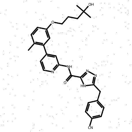 Cc1ccc(OCCCC(C)(C)O)cc1-c1ccnc(NC(=O)c2nnc(Cc3ccc(C#N)cc3)[nH]2)c1